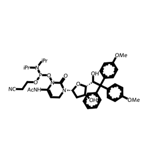 COc1ccc(C(c2ccccc2)(c2ccc(OC)cc2)C(O)[C@H]2O[C@@H](N3CC=C(NC(C)=O)N(OP(OCCC#N)N(C(C)C)C(C)C)C3=O)C[C@@H]2O)cc1